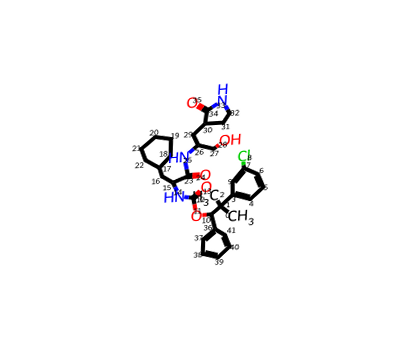 CC(C)(c1cccc(Cl)c1)C(OC(=O)NC(CC1CCCCC1)C(=O)NC(CO)CC1CCNC1=O)c1ccccc1